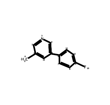 [CH2]c1cncc(-c2ccc(F)cc2)c1